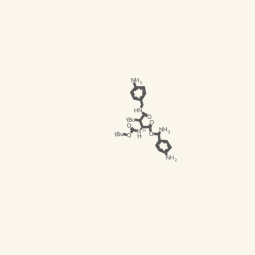 CC(C)(C)OC(=O)N[C@H](C(=O)OC(N)c1ccc(N)cc1)C(C(=O)NCc1ccc(N)cc1)C(C)(C)C